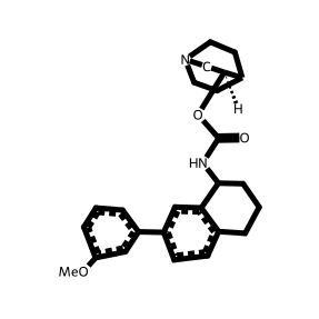 COc1cccc(-c2ccc3c(c2)C(NC(=O)O[C@H]2CN4CCC2CC4)CCC3)c1